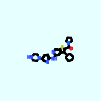 O=C(c1sc2cnc(Nc3ccc(N4CCNCC4)cn3)cc2c1C1CCCCC1)N1CCCC1